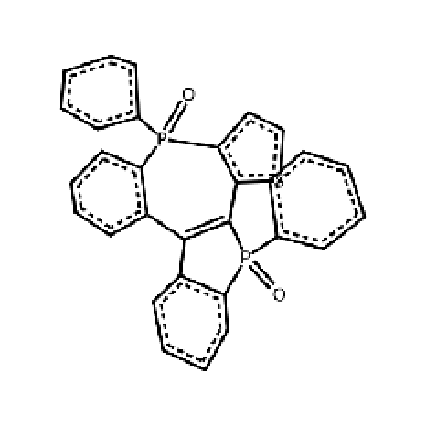 O=P1(c2ccccc2)C2=C(c3ccccc31)c1ccccc1P(=O)(c1ccccc1)c1ccsc12